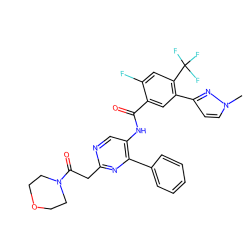 Cn1ccc(-c2cc(C(=O)Nc3cnc(CC(=O)N4CCOCC4)nc3-c3ccccc3)c(F)cc2C(F)(F)F)n1